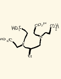 CCC(CN(CC(=O)O)CC(=O)O)N(CC(=O)O)CC(=O)O